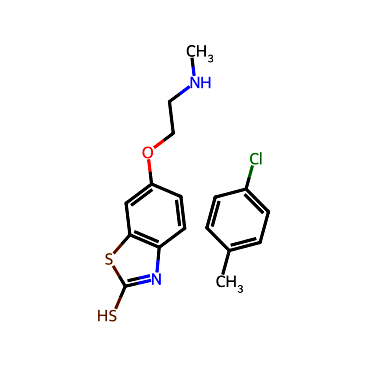 CNCCOc1ccc2nc(S)sc2c1.Cc1ccc(Cl)cc1